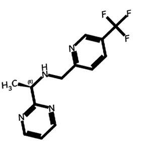 C[C@@H](NCc1ccc(C(F)(F)F)cn1)c1ncccn1